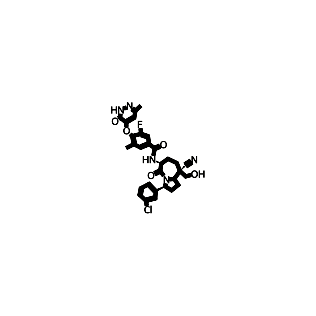 Cc1cc(Oc2c(C)cc(C(=O)N[C@@H]3CC[C@@](C#N)(CO)C4CC[C@@H](c5cccc(Cl)c5)N4C3=O)cc2F)c(=O)[nH]n1